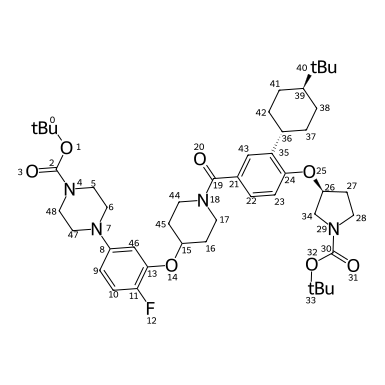 CC(C)(C)OC(=O)N1CCN(c2ccc(F)c(OC3CCN(C(=O)c4ccc(O[C@H]5CCN(C(=O)OC(C)(C)C)C5)c([C@H]5CC[C@H](C(C)(C)C)CC5)c4)CC3)c2)CC1